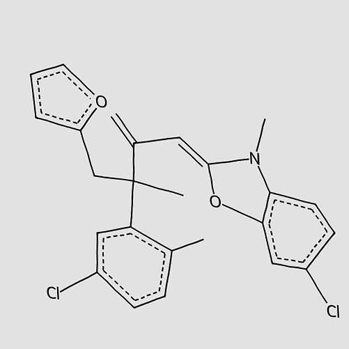 C=C(/C=C1\Oc2cc(Cl)ccc2N1C)C(C)(Cc1ccco1)c1cc(Cl)ccc1C